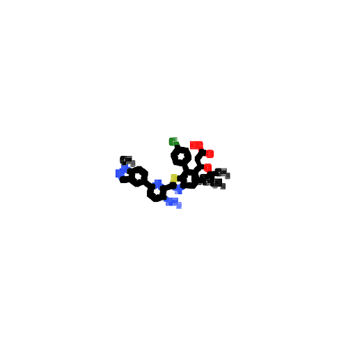 Cc1cc2nc(-c3nc(-c4ccc5c(cnn5C)c4)ccc3N)sc2c(-c2ccc(Cl)cc2)c1[C@@H](CC(=O)O)OC(C)(C)C